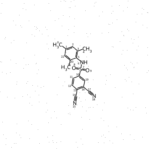 Cc1cc(C)c(NS(=O)(=O)c2ccc(C#N)c(C#N)c2)c(C)c1